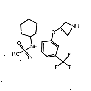 FC(F)(F)c1cccc(OC2CNC2)c1.O=S(=O)(O)NC1CCCCC1